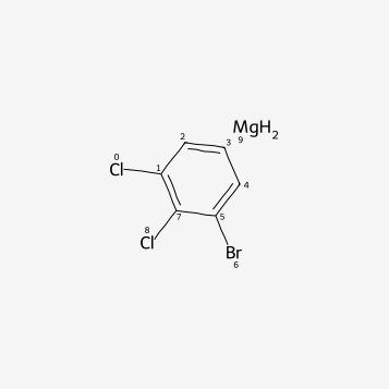 Clc1cccc(Br)c1Cl.[MgH2]